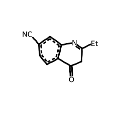 CCC1=Nc2cc(C#N)ccc2C(=O)C1